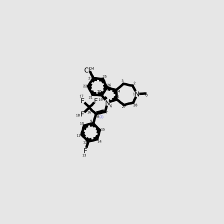 CN1CCc2c(n(/C=C(/c3ccc(F)cc3)C(F)(F)F)c3ccc(Cl)cc23)CC1